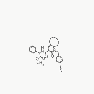 COC(=O)[C@H](NC(=O)c1cc2c(n(Cc3ccc(C#N)cc3)c1=O)CCCCCC2)c1ccccc1